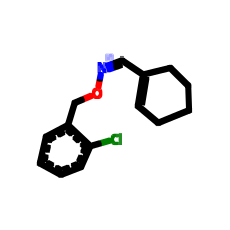 Clc1ccccc1CO/N=[C]\C1=CCCCC1